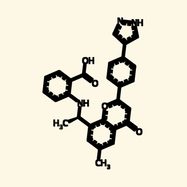 Cc1cc([C@@H](C)Nc2ccccc2C(=O)O)c2oc(-c3ccc(-c4cn[nH]c4)cc3)cc(=O)c2c1